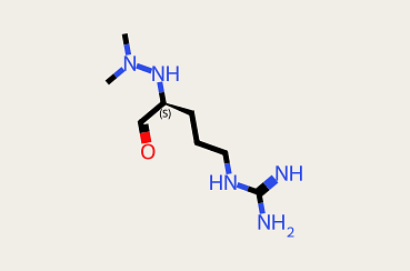 CN(C)N[C@H](C=O)CCCNC(=N)N